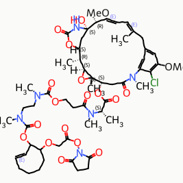 COc1cc2cc(c1Cl)N(C)C(=O)C[C@H](OC(=O)[C@H](C)N(C)C(=O)CCOC(=O)N(C)CCN(C)C(=O)OC1/C=C/CCCCC1OCC(=O)ON1C(=O)CCC1=O)[C@]1(C)O[C@H]1[C@H](C)[C@@H]1C[C@@](O)(NC(=O)O1)[C@H](OC)/C=C/C=C(\C)C2